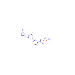 [2H]c1cc(-c2cccc(-c3cc([C@]4(O)CCN(C)C4=O)on3)n2)nc(Nc2ccn(CC)n2)n1